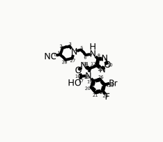 N#CC1CCN(CCNc2nonc2C2=NOC(O)N2c2ccc(F)c(Br)c2)CC1